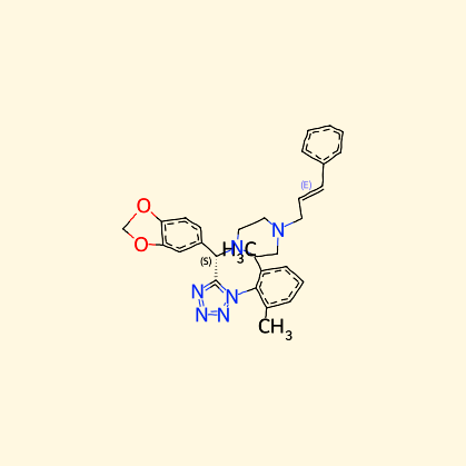 Cc1cccc(C)c1-n1nnnc1[C@H](c1ccc2c(c1)OCO2)N1CCN(C/C=C/c2ccccc2)CC1